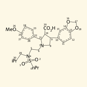 CCCS(=O)(=O)N(CCN1CC(c2ccc3c(c2)OCO3)C(C(=O)O)C1c1ccc(OC)cc1)CC(C)C